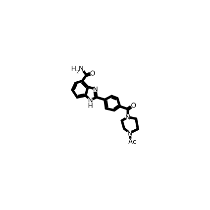 CC(=O)N1CCN(C(=O)c2ccc(-c3nc4c(C(N)=O)cccc4[nH]3)cc2)CC1